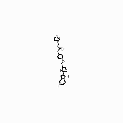 [O-][S+](CCn1ccnn1)Cc1ccc(OCc2coc(-c3cc4cc(F)ccc4[nH]3)n2)cc1